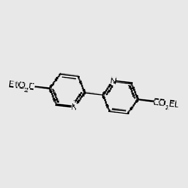 CCOC(=O)c1ccc(-c2ccc(C(=O)OCC)cn2)nc1